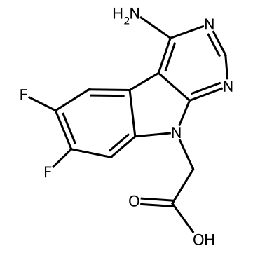 Nc1ncnc2c1c1cc(F)c(F)cc1n2CC(=O)O